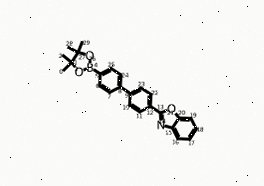 CC1(C)OB(c2ccc(-c3ccc(-c4nc5ccccc5o4)cc3)cc2)OC1(C)C